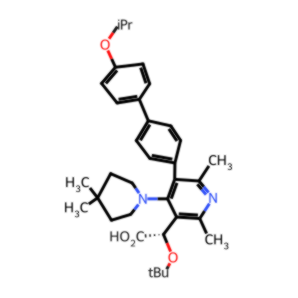 Cc1nc(C)c([C@H](OC(C)(C)C)C(=O)O)c(N2CCC(C)(C)CC2)c1-c1ccc(-c2ccc(OC(C)C)cc2)cc1